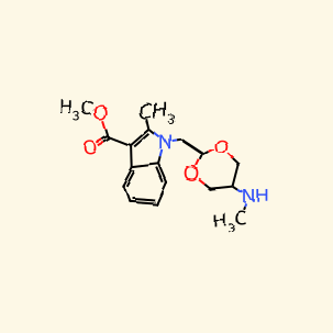 CNC1COC(Cn2c(C)c(C(=O)OC)c3ccccc32)OC1